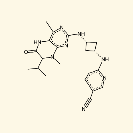 Cc1nc(N[C@H]2C[C@@H](Nc3ccc(C#N)cn3)C2)nc2c1NC(=O)C(C(C)C)N2C